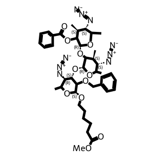 COC(=O)CCCCCO[C@H]1OC(C)[C@@H](N=[N+]=[N-])[C@H](O[C@H]2OC(C)[C@@H](N=[N+]=[N-])[C@H](C)C2O[C@H]2OC(C)[C@@H](N=[N+]=[N-])[C@H](C)C2OC(=O)c2ccccc2)C1OCc1ccccc1